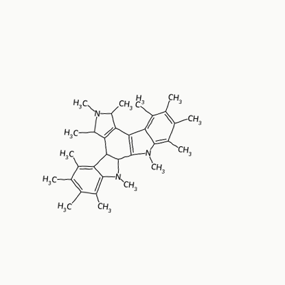 Cc1c(C)c(C)c2c(c1C)C1C3=C(c4c(n(C)c5c(C)c(C)c(C)c(C)c45)C1N2C)C(C)N(C)C3C